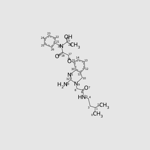 CC(C)CCNC(=O)CN1Cc2cccc(OCC(=O)N(c3ccccc3)C(C)O)c2N=C1N